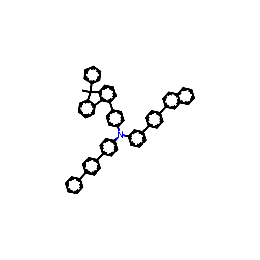 CC1(c2ccccc2)c2ccccc2-c2c(-c3ccc(N(c4ccc(-c5ccc(-c6ccccc6)cc5)cc4)c4cccc(-c5ccc(-c6ccc7ccccc7c6)cc5)c4)cc3)cccc21